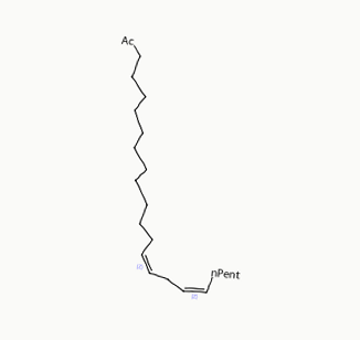 CCCCC/C=C\C/C=C\CCCCCCCCCCCC(C)=O